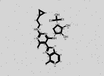 CCC(O)(CC)[C@H]1C[C@@H](Nc2nc(NCCC3CC3)nc(C)c2-c2nc3c(C)nccc3s2)[C@H](O)[C@@H]1O